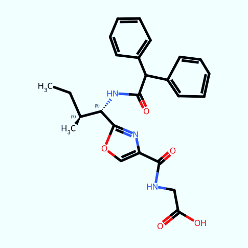 CC[C@H](C)[C@H](NC(=O)C(c1ccccc1)c1ccccc1)c1nc(C(=O)NCC(=O)O)co1